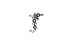 CCc1ccc(-c2nc3cc(NC(=O)c4cc(C#N)ncc4S(C)(=O)=O)ccc3o2)cn1